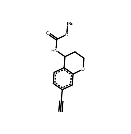 C#Cc1ccc2c(c1)OCCC2NC(=O)OC(C)(C)C